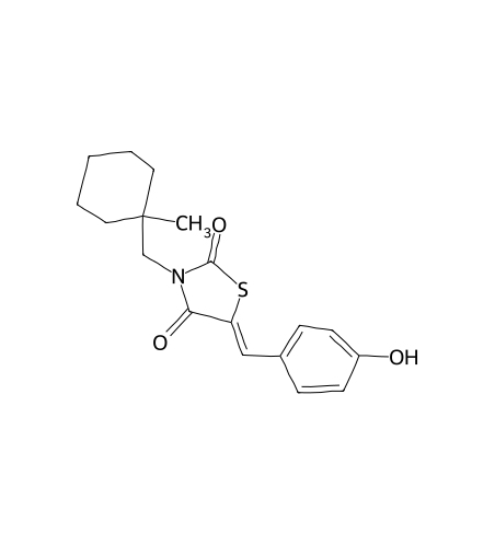 CC1(CN2C(=O)SC(=Cc3ccc(O)cc3)C2=O)CCCCC1